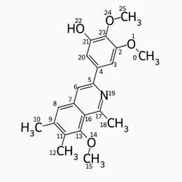 COc1cc(-c2cc3cc(C)c(C)c(OC)c3c(C)n2)cc(O)c1OC